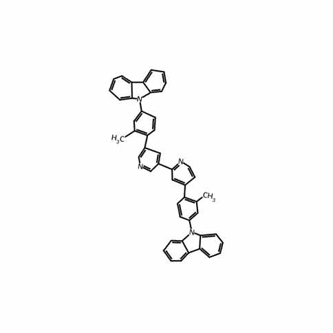 Cc1cc(-n2c3ccccc3c3ccccc32)ccc1-c1cncc(-c2cc(-c3ccc(-n4c5ccccc5c5ccccc54)cc3C)ccn2)c1